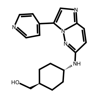 OC[C@H]1CC[C@H](Nc2ccc3ncc(-c4ccncc4)n3n2)CC1